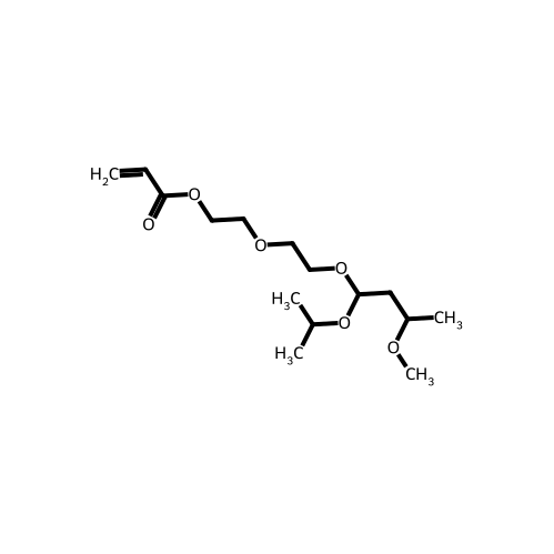 C=CC(=O)OCCOCCOC(CC(C)OC)OC(C)C